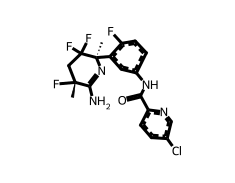 C[C@@]1(F)CC(F)(F)[C@@](C)(c2cc(NC(=O)c3ccc(Cl)cn3)ccc2F)N=C1N